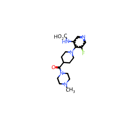 CN1CCN(C(=O)C2CCN(c3c(F)cncc3NC(=O)O)CC2)CC1